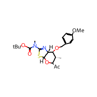 COc1ccc(CO[C@H]2[C@H](C)[C@@H](C(C)=O)O[C@@H]3SC(N(C)C(=O)OC(C)(C)C)=N[C@H]23)cc1